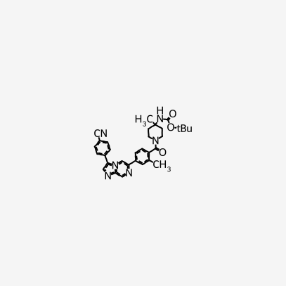 Cc1cc(-c2cn3c(-c4ccc(C#N)cc4)cnc3cn2)ccc1C(=O)N1CCC(C)(NC(=O)OC(C)(C)C)CC1